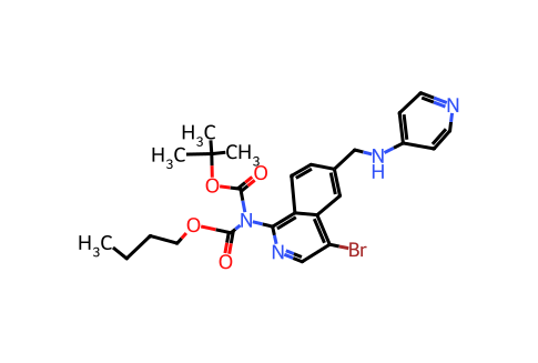 CCCCOC(=O)N(C(=O)OC(C)(C)C)c1ncc(Br)c2cc(CNc3ccncc3)ccc12